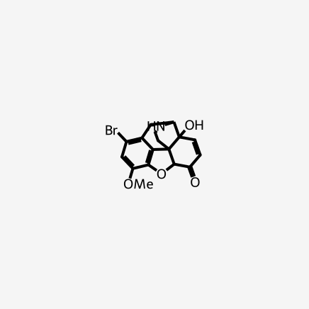 COc1cc(Br)c2c3c1OC1C(=O)C=CC4(O)C(C2)NCCC314